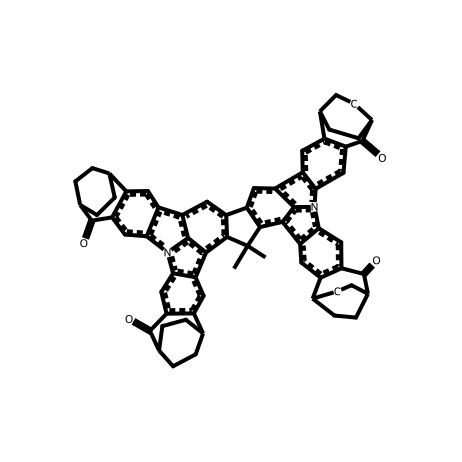 CC1(C)c2c(cc3c4cc5c(cc4n4c6cc7c(cc6c2c34)C2CCC(CC2)C7=O)C(=O)C2CCC5CC2)-c2cc3c4cc5c(cc4n4c6cc7c(cc6c(c21)c34)C1CCC(CC1)C7=O)C(=O)C1CCC5CC1